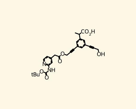 CC(C(=O)O)c1cc(C#CCO)cc(C#CCOC(=O)Cc2ccnc(NC(=O)OC(C)(C)C)c2)c1